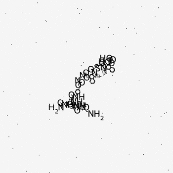 CC[C@@H]1CN(C(=O)c2ccc(C(=O)N3C[C@@H](CC)c4c3cc(OP(=O)(O)O)c3ccccc43)s2)c2cc(OC(=O)N(C)CCN(C)C(=O)OCc3ccc(NC(=O)[C@H](CCCNC(N)=O)NC(=O)[C@@H](NC(=O)[C@H](CCCCN)NC(C)=O)C(C)C)cc3)c3ccccc3c21